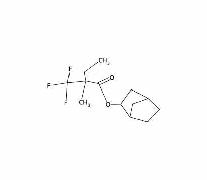 CCC(C)(C(=O)OC1CC2CCC1C2)C(F)(F)F